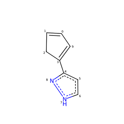 C1=CCC(c2cc[nH]n2)=C1